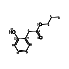 CCCOC(=O)Cc1ccccc1O